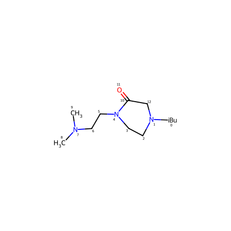 CCC(C)N1CCN(CCN(C)C)C(=O)C1